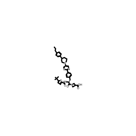 CCCc1ccc(C2CCCN(c3cnc(-c4ccc(C[C@H](NC(=O)c5ccc(C(C)(C)C)s5)C(=O)N5CC(C(=O)O)C5)cc4)nc3)CC2)cc1